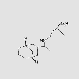 CC(NCCC(C)S(=O)(=O)O)C1C[C@H]2CCC[C@@H](C1)C2